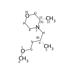 COCC[C@@H](C)CN1CCOC[C@@H]1C